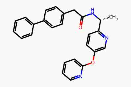 C[C@@H](NC(=O)Cc1ccc(-c2ccccc2)cc1)c1ccc(Oc2ccccn2)cn1